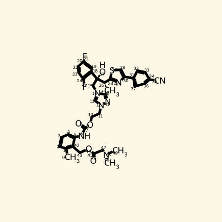 Cc1cccc(NC(=O)OCCn2c[n+](C[C@](O)(c3cc(F)ccc3F)[C@@H](C)c3nc(-c4ccc(C#N)cc4)cs3)cn2)c1COC(=O)CN(C)C